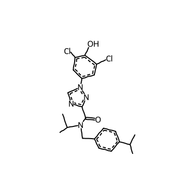 CC(C)c1ccc(CN(C(=O)c2ncn(-c3cc(Cl)c(O)c(Cl)c3)n2)C(C)C)cc1